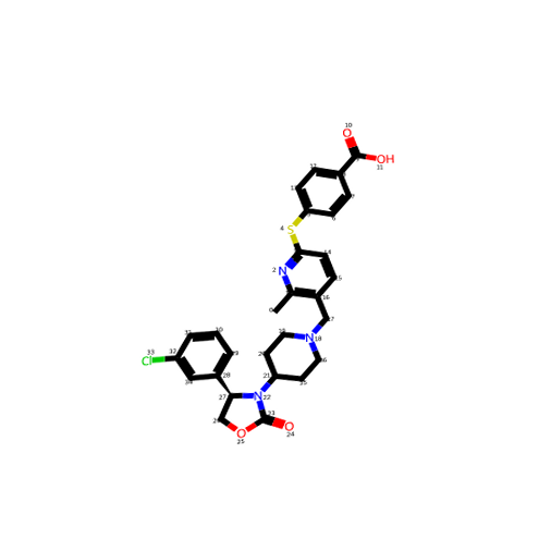 Cc1nc(Sc2ccc(C(=O)O)cc2)ccc1CN1CCC(N2C(=O)OC[C@H]2c2cccc(Cl)c2)CC1